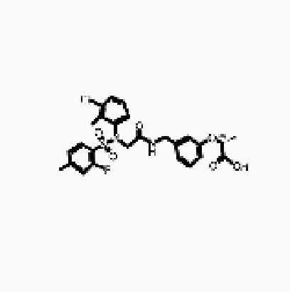 Cc1ccc(S(=O)(=O)N(CC(=O)NCc2cccc(O[C@H](C)C(=O)O)c2)c2cccc(Cl)c2C)c(F)c1